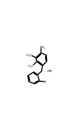 Br.Cc1c(N)ccc(Cc2ccccc2Br)c1C